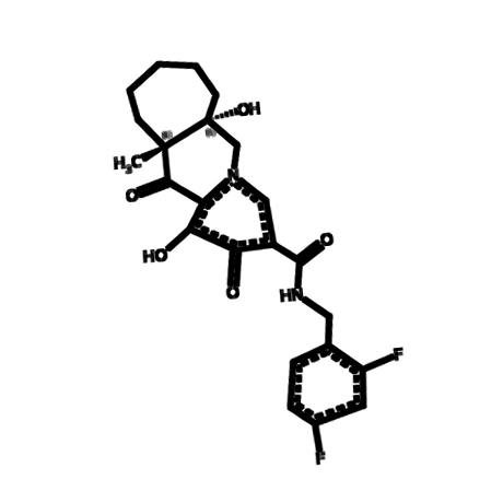 C[C@@]12CCCCC[C@@]1(O)Cn1cc(C(=O)NCc3ccc(F)cc3F)c(=O)c(O)c1C2=O